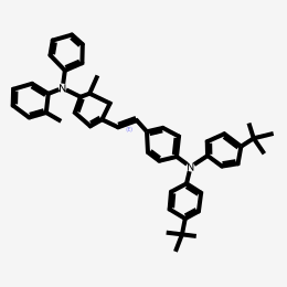 Cc1ccccc1N(C1=CC=C(/C=C/c2ccc(N(c3ccc(C(C)(C)C)cc3)c3ccc(C(C)(C)C)cc3)cc2)CC1C)c1ccccc1